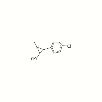 CCCC1C(c2ccc(Cl)cc2)N1C